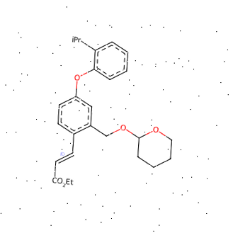 CCOC(=O)/C=C/c1ccc(Oc2ccccc2C(C)C)cc1COC1CCCCO1